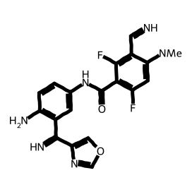 CNc1cc(F)c(C(=O)Nc2ccc(N)c(C(=N)c3cocn3)c2)c(F)c1C=N